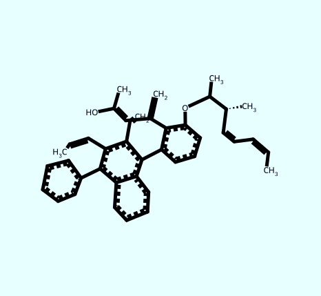 C=Cc1c(/C=C\C)c(-c2ccccc2)c2ccccc2c1-c1cccc(OC(C)[C@H](C)/C=C\C=C/C)c1C(=C)/C=C(\C)O